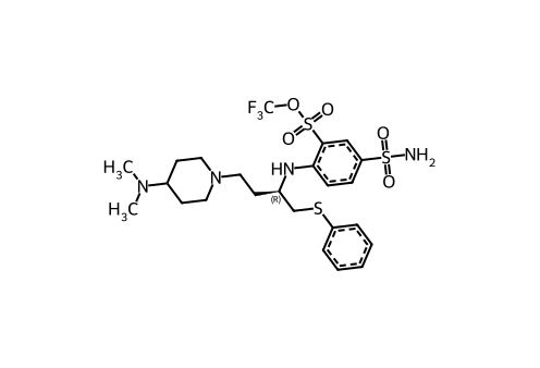 CN(C)C1CCN(CC[C@H](CSc2ccccc2)Nc2ccc(S(N)(=O)=O)cc2S(=O)(=O)OC(F)(F)F)CC1